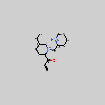 C=CC(=O)C1CCC(CC)CN1CC1CCCCN1